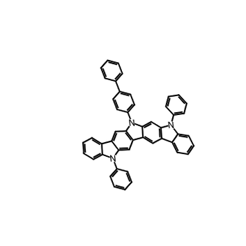 c1ccc(-c2ccc(-n3c4cc5c6ccccc6n(-c6ccccc6)c5cc4c4cc5c6ccccc6n(-c6ccccc6)c5cc43)cc2)cc1